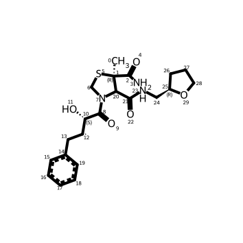 C[C@@]1(C(N)=O)SCN(C(=O)[C@@H](O)[CH]Cc2ccccc2)C1C(=O)NC[C@H]1CCCO1